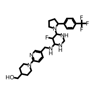 OCC1CCN(c2ccc(CNC3NCNC(N4CCCC4c4ccc(C(F)(F)F)cc4)C3F)cn2)CC1